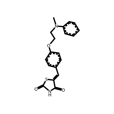 CN(CCOc1ccc(/C=C2\SC(=O)NC2=O)cc1)c1ccccc1